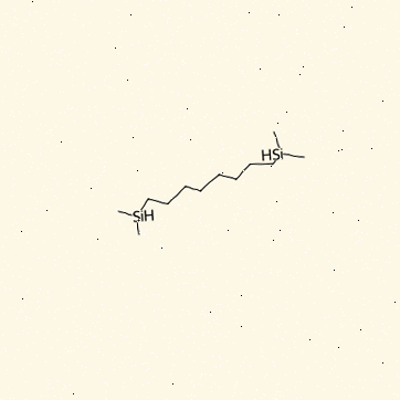 C[SiH](C)CCCCCCCC[SiH](C)C